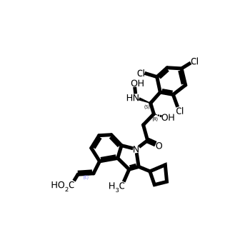 Cc1c(C2CCC2)n(C(=O)C[C@@H](O)[C@@H](NO)c2c(Cl)cc(Cl)cc2Cl)c2cccc(/C=C/C(=O)O)c12